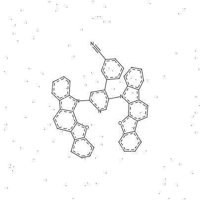 N#Cc1cccc(-c2cc(-n3c4ccccc4c4ccc5c6ccccc6oc5c43)ncc2-n2c3ccccc3c3ccc4c5ccccc5oc4c32)c1